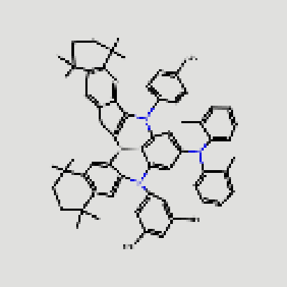 Cc1ccccc1N(c1cc2c3c(c1)N(c1cc(C(C)(C)C)cc(C(C)(C)C)c1)c1cc4c(cc1B3C1=C(c3cc5c(cc3C1)C(C)(C)CCC5(C)C)N2c1ccc(C(C)(C)C)cc1)C(C)(C)CCC4(C)C)c1ccccc1C